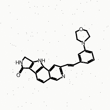 O=C1NCc2[nH]c3c(ccc4cnc(C=Cc5cccc(N6CCOCC6)c5)cc43)c21